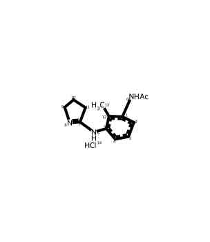 CC(=O)Nc1cccc(NC2=NCCC2)c1C.Cl